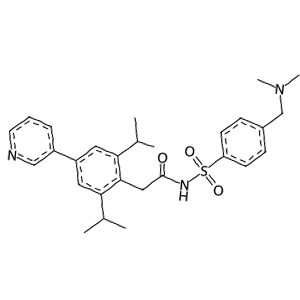 CC(C)c1cc(-c2cccnc2)cc(C(C)C)c1CC(=O)NS(=O)(=O)c1ccc(CN(C)C)cc1